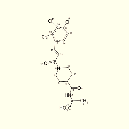 CC(NC(=O)C1CCN(C(=O)/C=C/c2ccc(Cl)c(Cl)c2Cl)CC1)C(=O)O